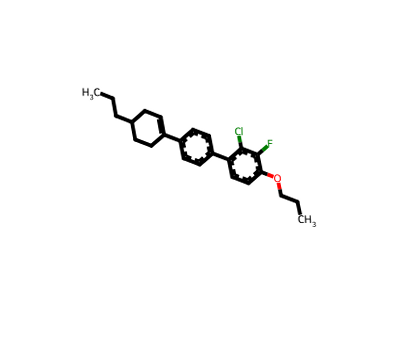 CCCOc1ccc(-c2ccc(C3=CCC(CCC)CC3)cc2)c(Cl)c1F